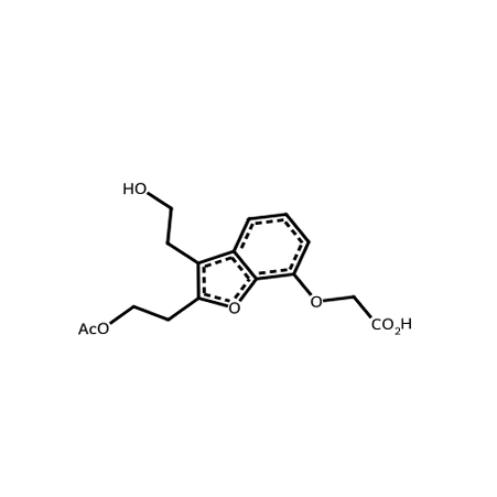 CC(=O)OCCc1oc2c(OCC(=O)O)cccc2c1CCO